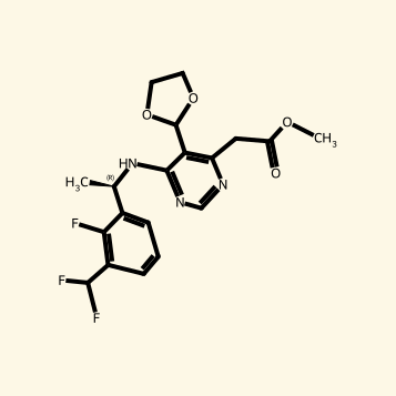 COC(=O)Cc1ncnc(N[C@H](C)c2cccc(C(F)F)c2F)c1C1OCCO1